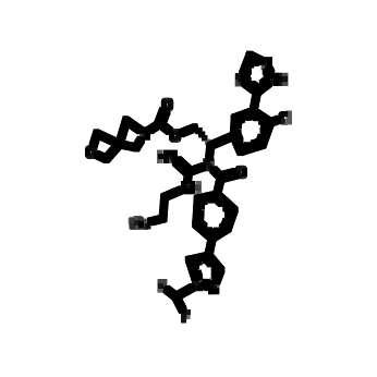 CC(C)(C)CCNC(=N)N(C(=O)c1ccc(-c2cnn(C(F)F)c2)cc1)[C@H](COC(=O)N1CC2(COC2)C1)c1ccc(Cl)c(-c2ncn[nH]2)c1